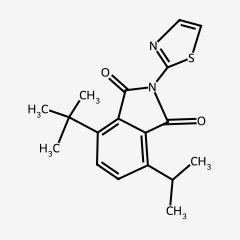 CC(C)c1ccc(C(C)(C)C)c2c1C(=O)N(c1nccs1)C2=O